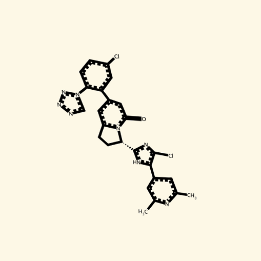 Cc1cc(-c2[nH]c([C@@H]3CCc4cc(-c5cc(Cl)ccc5-n5cnnn5)cc(=O)n43)nc2Cl)cc(C)n1